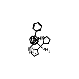 CC(C)(C)[C]12[C]3(c4ccccc4)[CH]4[C]5(CP)[C]1(C(P)(C1CCCN1)C1CCCN1)[Fe]45321678[CH]2[CH]1[CH]6[CH]7[CH]28